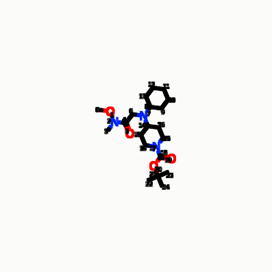 CON(C)C(=O)CN(C1CCCCC1)C1CCN(C(=O)OC(C)(C)C)CC1